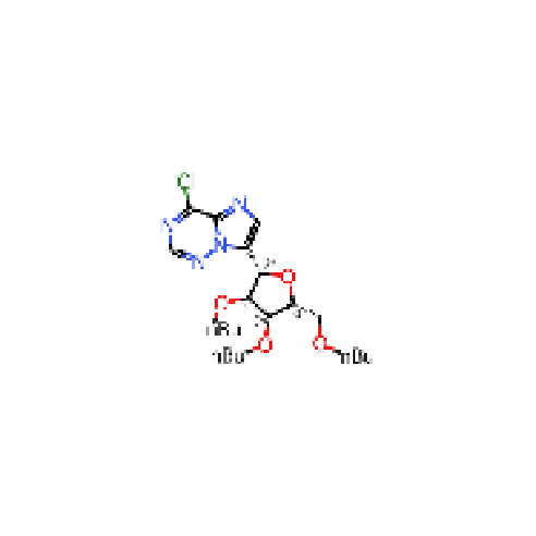 CCCCOC[C@H]1O[C@@H](c2cnc3c(Cl)ncnn23)[C@H](OCCCC)[C@@H]1OCCCC